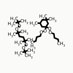 CC(C)(C)OOC(C)(C)CCC(C)(C)OOC(C)(C)C.CCCCOOC1(OOCCCC)CC(C)CC(C)(C)C1